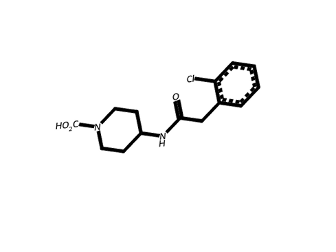 O=C(Cc1ccccc1Cl)NC1CCN(C(=O)O)CC1